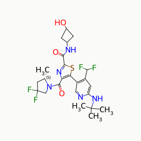 C[C@H]1CC(F)(F)CN1C(=O)c1nc(C(=O)NC2CC(O)C2)sc1-c1cnc(NC(C)(C)C)cc1C(F)F